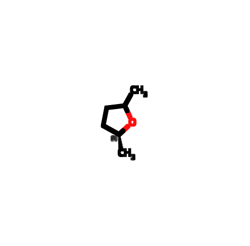 CC1CC[C@@H](C)O1